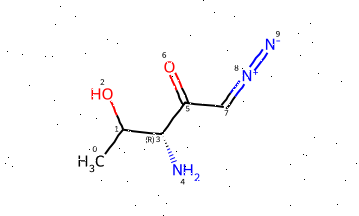 CC(O)[C@@H](N)C(=O)C=[N+]=[N-]